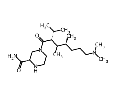 CC(C)[C@@H](C(=O)N1CCN[C@@H](C(N)=O)C1)C(C)[C@@H](C)CCCN(C)C